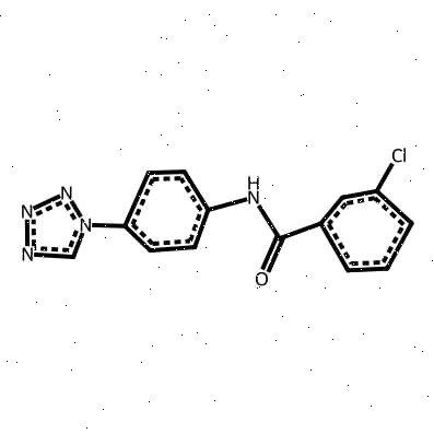 O=C(Nc1ccc(-n2cnnn2)cc1)c1cccc(Cl)c1